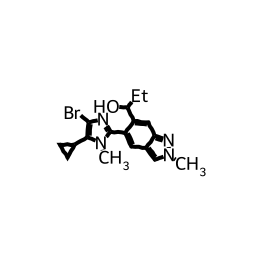 CCC(O)c1cc2nn(C)cc2cc1-c1nc(Br)c(C2CC2)n1C